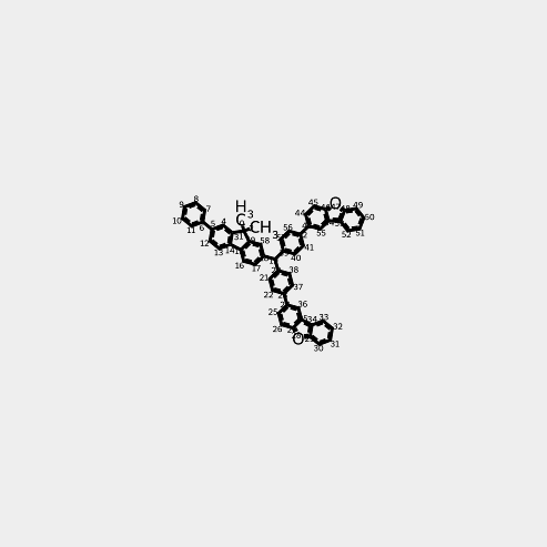 CC1(C)c2cc(-c3ccccc3)ccc2-c2ccc(C(c3ccc(-c4ccc5oc6ccccc6c5c4)cc3)c3ccc(-c4ccc5oc6ccccc6c5c4)cc3)cc21